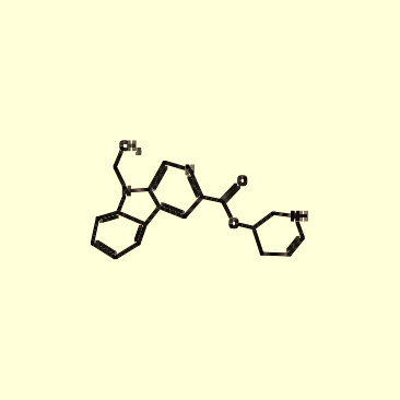 CCn1c2ccccc2c2cc(C(=O)OC3CC=CNC3)ncc21